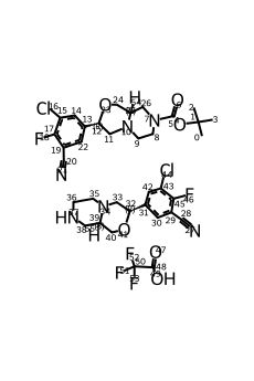 CC(C)(C)OC(=O)N1CCN2C[C@@H](c3cc(Cl)c(F)c(C#N)c3)OC[C@@H]2C1.N#Cc1cc([C@@H]2CN3CCNC[C@H]3CO2)cc(Cl)c1F.O=C(O)C(F)(F)F